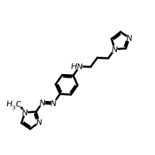 Cn1ccnc1/N=N/c1ccc(NCCCn2ccnc2)cc1